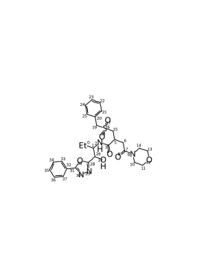 CCC(NC(=O)C(CC(=O)N1CCOCC1)CS(=O)(=O)Cc1ccccc1)C(O)c1nnc(-c2ccccc2)o1